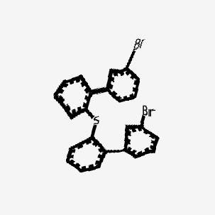 Brc1cccc(-c2ccccc2Sc2ccccc2-c2cccc(Br)c2)c1